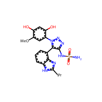 COc1cc(-n2nnc(NS(N)(=O)=O)c2-c2cccc3[nH]c(C(C)C)nc23)c(O)cc1O